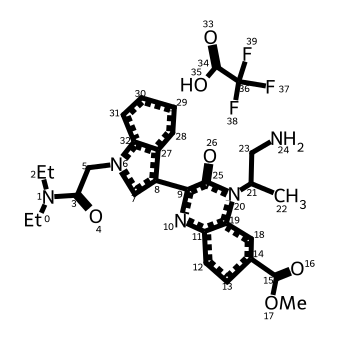 CCN(CC)C(=O)Cn1cc(-c2nc3ccc(C(=O)OC)cc3n(C(C)CN)c2=O)c2ccccc21.O=C(O)C(F)(F)F